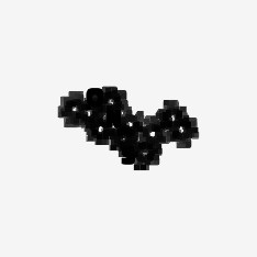 c1cc(-c2ccc(N(c3ccccc3-c3ccc4c(c3)sc3ccccc34)c3cccc4oc5c6ccccc6ccc5c34)cc2)cc(-c2cccc3ccccc23)c1